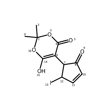 CC1(C)OC(=O)C(C2C(=O)C=CC2I)=C(O)O1